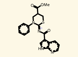 COC(=O)C1CS/C(=N\C(=O)c2c[nH]c3ncccc23)N(c2ccccc2)C1